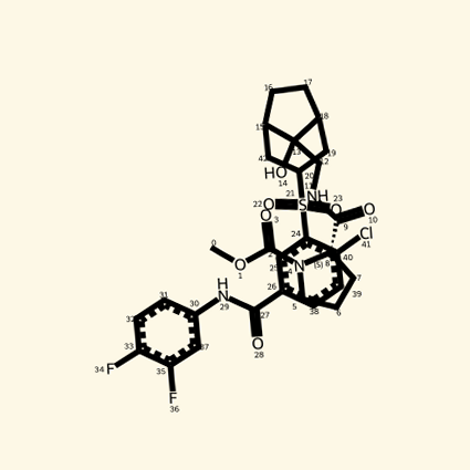 COC(=O)N1CCC[C@H]1C(=O)NCC1(O)C2CCC1CC(S(=O)(=O)c1cc(C(=O)Nc3ccc(F)c(F)c3)ccc1Cl)C2